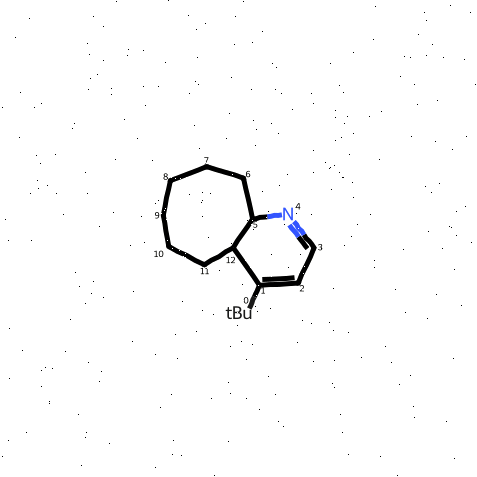 CC(C)(C)C1=CC=NC2CCCCCCC12